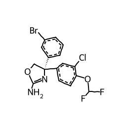 NC1=N[C@](c2cccc(Br)c2)(c2ccc(OC(F)F)c(Cl)c2)CO1